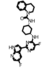 O=C(N[C@H]1CCC[C@@H](Nc2nc(-c3c[nH]c4ncc(F)cc34)ncc2F)C1)N1CCCc2ccccc21